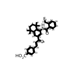 CC1(C)CCC(C)(C)c2c(NC(=O)c3ccccc3CF)cc(C(=O)C=Cc3ccc(C(=O)O)cc3)cc21